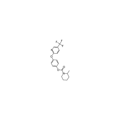 CC1CCCCN1C(=O)Oc1ccc(Oc2ccc(C(F)(F)F)cn2)cc1